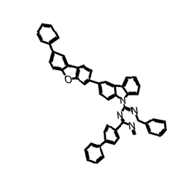 C=N/C(=N\C(=N/Cc1ccccc1)n1c2ccccc2c2cc(-c3ccc4c(c3)oc3ccc(-c5ccccc5)cc34)ccc21)c1ccc(-c2ccccc2)cc1